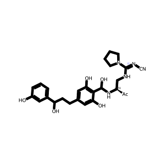 CC(=O)[C@H](CN/C(=N\C#N)N1CCCC1)NC(O)c1c(O)cc(CCC(O)c2cccc(O)c2)cc1O